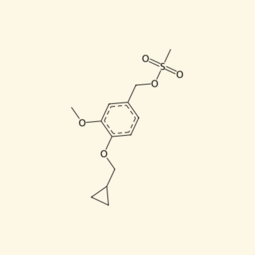 COc1cc(COS(C)(=O)=O)ccc1OCC1CC1